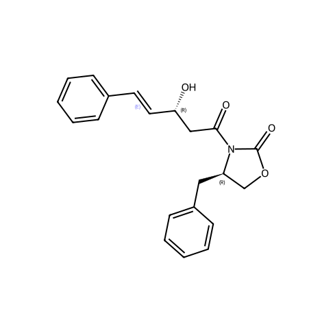 O=C(C[C@@H](O)/C=C/c1ccccc1)N1C(=O)OC[C@H]1Cc1ccccc1